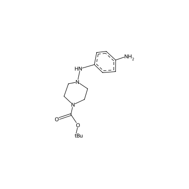 CC(C)(C)OC(=O)N1CCN(Nc2ccc(N)cc2)CC1